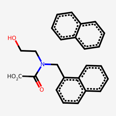 O=C(O)C(=O)N(CCO)Cc1cccc2ccccc12.c1ccc2ccccc2c1